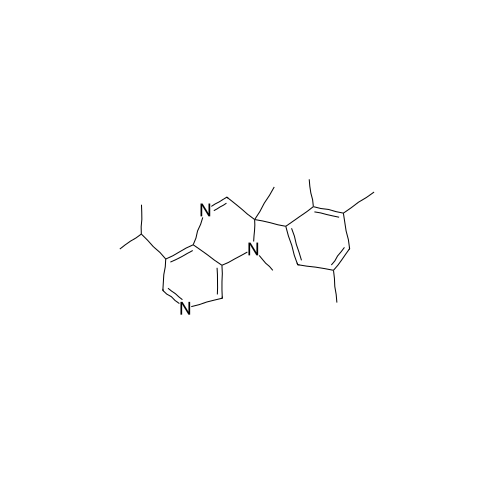 Cc1cc(C)c(C)c(C2(C)C=Nc3c(C(C)C)cncc3N2C)c1